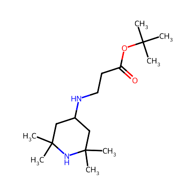 CC1(C)CC(NCCC(=O)OC(C)(C)C)CC(C)(C)N1